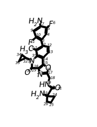 Cc1c(-c2cc(F)c(N)cc2F)ccc2c3oc(CNC(=O)C4(N)CCC4)nc3c(=O)n(C3CC3)c12